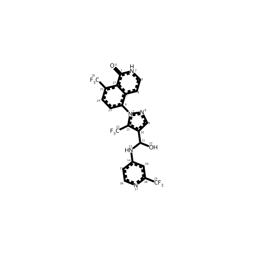 O=c1[nH]ccc2c(-n3ncc(C(O)Nc4ccnc(C(F)(F)F)c4)c3C(F)(F)F)ccc(C(F)(F)F)c12